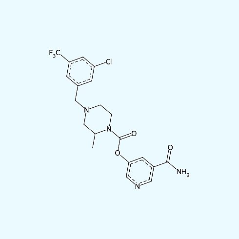 CC1CN(Cc2cc(Cl)cc(C(F)(F)F)c2)CCN1C(=O)Oc1cncc(C(N)=O)c1